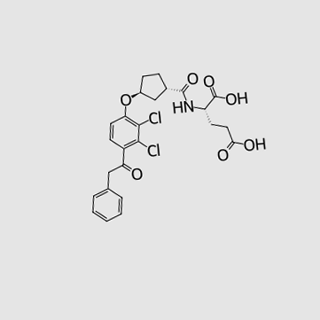 O=C(O)CC[C@H](NC(=O)[C@H]1CC[C@H](Oc2ccc(C(=O)Cc3ccccc3)c(Cl)c2Cl)C1)C(=O)O